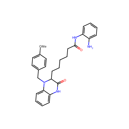 COc1ccc(CN2c3ccccc3NC(=O)C2CCCCCC(=O)Nc2ccccc2N)cc1